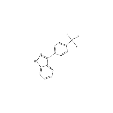 FC(F)(F)c1ccc(-c2n[nH]c3ccccc23)cc1